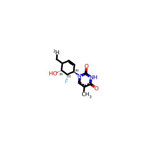 [2H]CC1C=C[C@@H](n2cc(C)c(=O)[nH]c2=O)[C@H](F)[C@@H]1O